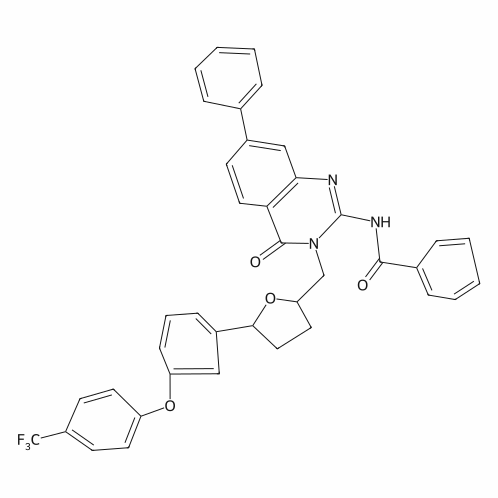 O=C(Nc1nc2cc(-c3ccccc3)ccc2c(=O)n1CC1CCC(c2cccc(Oc3ccc(C(F)(F)F)cc3)c2)O1)c1ccccc1